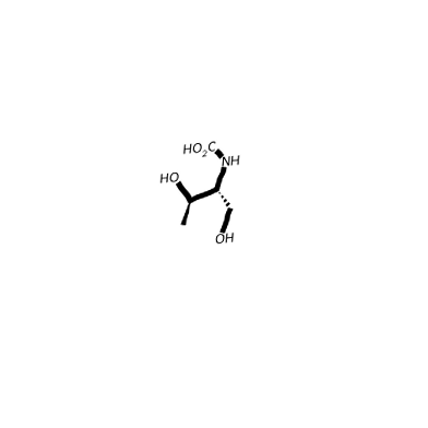 C[C@@H](O)[C@@H](CO)NC(=O)O